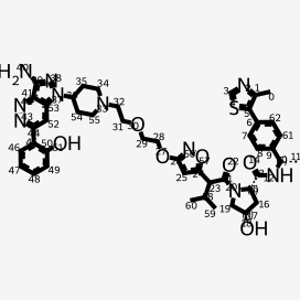 Cc1ncsc1-c1ccc([C@H](C)NC(=O)[C@@H]2C[C@@H](O)CN2C(=O)C(c2cc(OCCOCCN3CCC(n4nc(N)c5nnc(-c6ccccc6O)cc54)CC3)no2)C(C)C)cc1